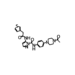 CC(=O)N1CCN(c2ccc(NC(=O)n3nccc3NC(=O)Cc3ccsc3)cc2)CC1